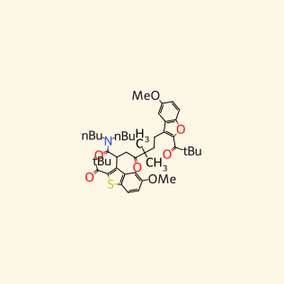 CCCCN(CCCC)C(=O)C(CC(=O)C(C)(C)CCc1c(C(=O)C(C)(C)C)oc2ccc(OC)cc12)c1c(C(=O)C(C)(C)C)sc2ccc(OC)cc12